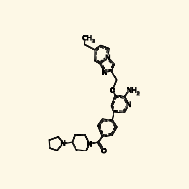 CCc1ccn2cc(COc3cc(-c4ccc(C(=O)N5CCC(N6CCCC6)CC5)cc4)cnc3N)nc2c1